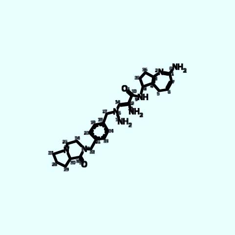 NC1=NC2=C(CC=C1)C(NC(=O)/C(N)=C/N(N)Cc1ccc(CN3CCN4CCCC4C3=O)cc1)CC2